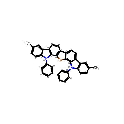 Cc1ccc2c(c1)c1ccc3c4ccc5c6cc(C)ccc6n(-c6ccccc6)c5c4sc3c1n2-c1ccccc1